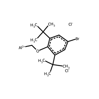 CC(C)(C)c1cc(Br)cc(C(C)(C)C)c1O[CH2][Al+2].[Cl-].[Cl-]